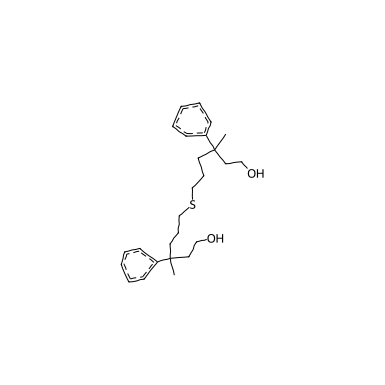 CC(CCO)(CCCSCCCC(C)(CCO)c1ccccc1)c1ccccc1